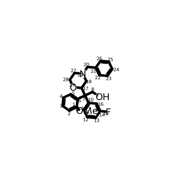 COc1ccccc1C(CO)(c1cccc(F)c1)C1CN(Cc2ccccc2)CCO1